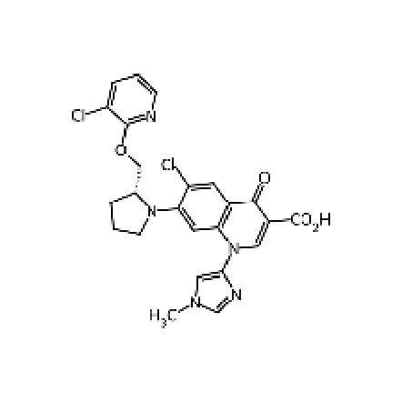 Cn1cnc(-n2cc(C(=O)O)c(=O)c3cc(Cl)c(N4CCC[C@@H]4COc4ncccc4Cl)cc32)c1